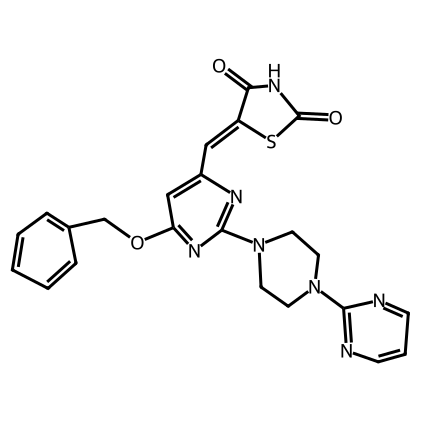 O=C1NC(=O)C(=Cc2cc(OCc3ccccc3)nc(N3CCN(c4ncccn4)CC3)n2)S1